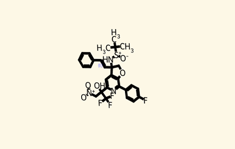 CC(C)(C)[S+]([O-])NC1(/C=C/c2ccccc2)COc2c1cc(C(O)(C[N+](=O)[O-])C(F)(F)F)nc2-c1ccc(F)cc1